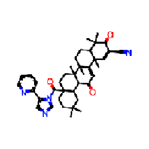 CC1(C)CCC2(C(=O)n3cncc3-c3ccccn3)CCC3(C)C(C(=O)C=C4C5(C)C=C(C#N)C(=O)C(C)(C)C5CCC43C)C2C1